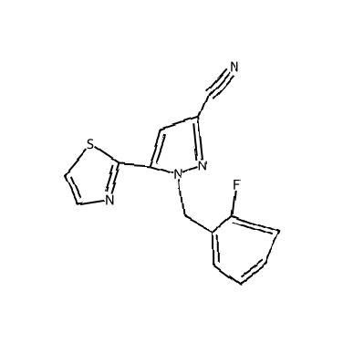 N#Cc1cc(-c2nccs2)n(Cc2ccccc2F)n1